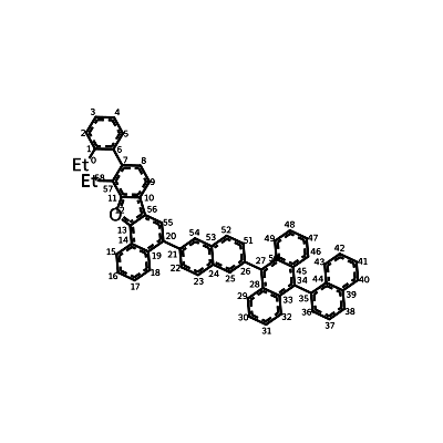 CCc1ccccc1-c1ccc2c(oc3c4ccccc4c(-c4ccc5cc(-c6c7ccccc7c(-c7cccc8ccccc78)c7ccccc67)ccc5c4)cc23)c1CC